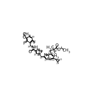 CCOC(=O)C(C)(C)Cc1cc(C2CC2)cn2cc(Cn3cc(C(=O)NCc4c(F)ccc(OC)c4F)nn3)nc12